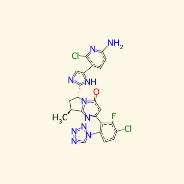 C[C@H]1C[C@H](c2ncc(-c3ccc(N)nc3Cl)[nH]2)n2c1nc(-c1c(-n3cnnn3)ccc(Cl)c1F)cc2=O